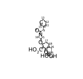 O=C(O)c1c(OC2CN(C(=O)Cc3ccccc3)C2)ccc2c1O[B-](O)(O)CC2